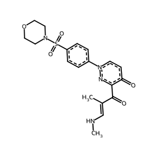 CN/C=C(\C)C(=O)c1nn(-c2ccc(S(=O)(=O)N3CCOCC3)cc2)ccc1=O